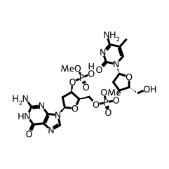 COP(=O)(O)O[C@@H]1C[C@H](n2cnc3c(=O)[nH]c(N)nc32)O[C@@H]1COP(=O)(OC)O[C@@H]1C[C@H](n2cc(C)c(N)nc2=O)O[C@@H]1CO